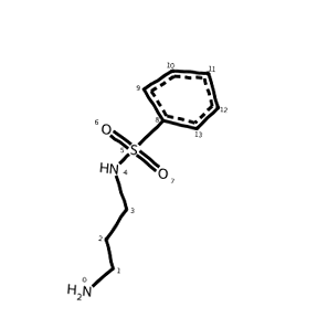 NCCCNS(=O)(=O)c1ccccc1